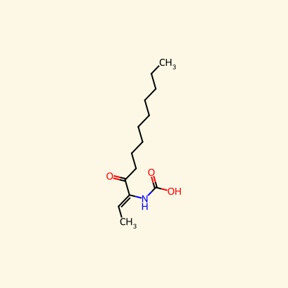 CC=C(NC(=O)O)C(=O)CCCCCCCCC